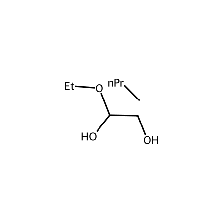 CCCC.CCOC(O)CO